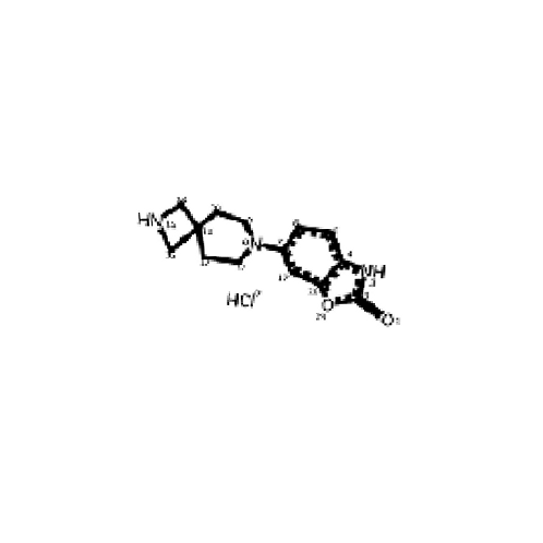 Cl.O=c1[nH]c2ccc(N3CCC4(CC3)CNC4)cc2o1